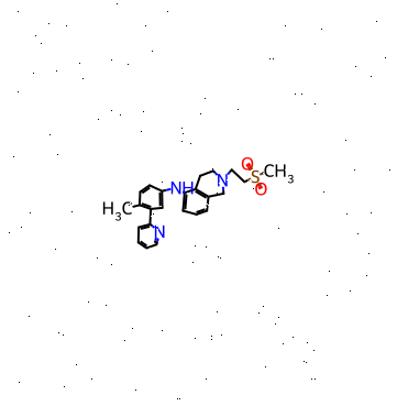 Cc1ccc(Nc2cccc3c2CCN(CCS(C)(=O)=O)C3)cc1-c1ccccn1